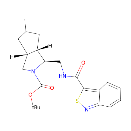 CC1C[C@H]2CN(C(=O)OC(C)(C)C)[C@H](CNC(=O)c3snc4ccccc34)[C@H]2C1